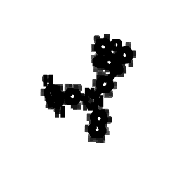 c1ccc2c(c1)Oc1ccccc1C21c2ccccc2-c2c(-c3ccc(-c4nc(-c5ccc(C67CC8C[C@H](C6)C[C@H](C8)C7)cc5)nc(-c5ccc6ccccc6c5)n4)cc3)cccc21